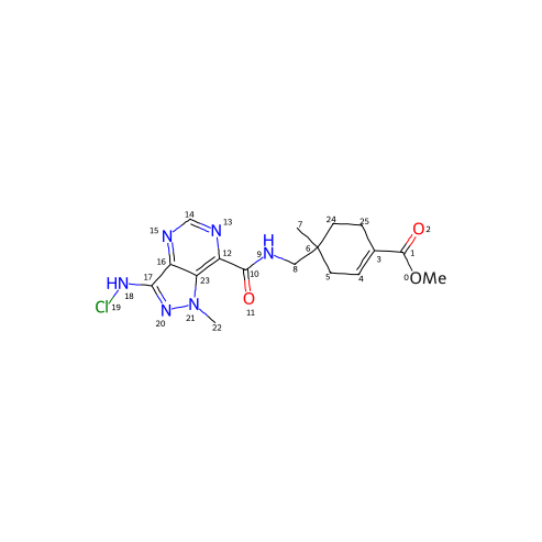 COC(=O)C1=CCC(C)(CNC(=O)c2ncnc3c(NCl)nn(C)c23)CC1